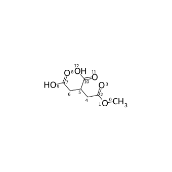 COC(=O)CC(CC(=O)O)C(=O)O